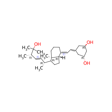 C[C@H](/C=C/[C@H](C)C(C)(C)O)C1CC[C@H]2/C(=C/C=C3C[C@@H](O)C[C@H](O)C3)CCC[C@]12C